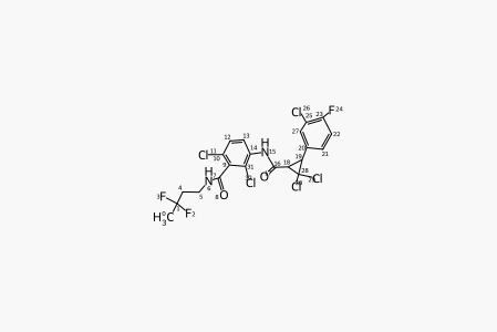 CC(F)(F)CCNC(=O)c1c(Cl)ccc(NC(=O)C2C(c3ccc(F)c(Cl)c3)C2(Cl)Cl)c1Cl